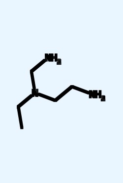 CCN(CN)CCN